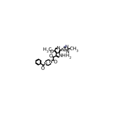 COc1cnc(N/C=N\C(C)N)c2[nH]cc(C(=O)C(=O)N3CCN(C(=O)c4ccccc4)CC3)c12